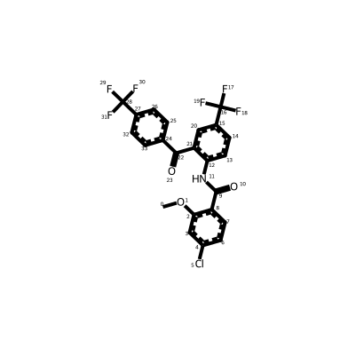 COc1cc(Cl)ccc1C(=O)Nc1ccc(C(F)(F)F)cc1C(=O)c1ccc(C(F)(F)F)cc1